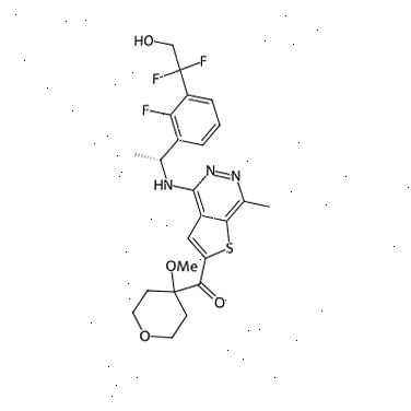 COC1(C(=O)c2cc3c(N[C@H](C)c4cccc(C(F)(F)CO)c4F)nnc(C)c3s2)CCOCC1